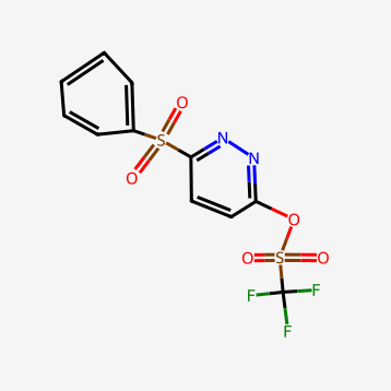 O=S(=O)(c1ccccc1)c1ccc(OS(=O)(=O)C(F)(F)F)nn1